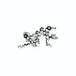 NCCCC[C@H](NC(=O)[C@H](CO)NC(=O)[C@H](CS)NC(=O)[C@@H]1CCCN1C(=O)[C@@H]1CCCN1C(=O)[C@H](Cc1ccc(O)cc1)NC(=O)[C@H](CCCCN)NC(=O)[C@@H](N)CO)C(=O)N[C@@H](Cc1ccc(O)cc1)C(=O)N[C@@H](CS)C(=O)O